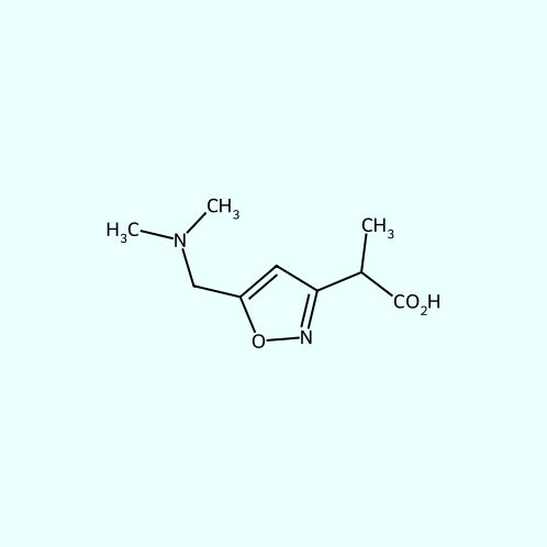 CC(C(=O)O)c1cc(CN(C)C)on1